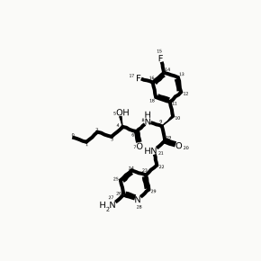 CCCC[C@@H](O)C(=O)N[C@@H](Cc1ccc(F)c(F)c1)C(=O)NCc1ccc(N)nc1